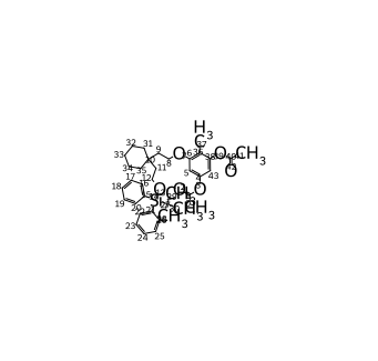 CC(=O)Oc1cc(OCCC2(CCO[Si](c3ccccc3)(c3ccccc3)C(C)(C)C)CCCCC2)c(C)c(OC(C)=O)c1